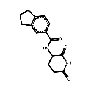 O=C1CCC(NC(=O)c2ccc3c(c2)CCC3)C(=O)N1